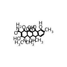 Cc1ccc2c(c1O)C(=O)C1=C(O)C3(O)C(=O)C(C(N)=O)=C(O)C(N(C)C)C3C(O)C1C2C